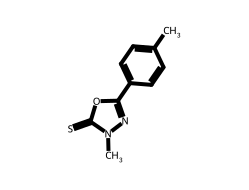 Cc1ccc(-c2nn(C)c(=S)o2)cc1